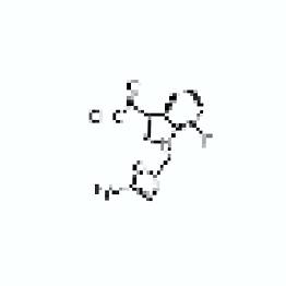 O=CC(=O)c1cn(Cc2ccc(C(F)(F)F)o2)c2c(F)cccc12